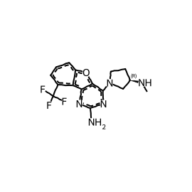 CN[C@@H]1CCN(c2nc(N)nc3c2oc2cccc(C(F)(F)F)c23)C1